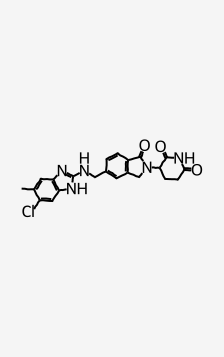 Cc1cc2nc(NCc3ccc4c(c3)CN(C3CCC(=O)NC3=O)C4=O)[nH]c2cc1Cl